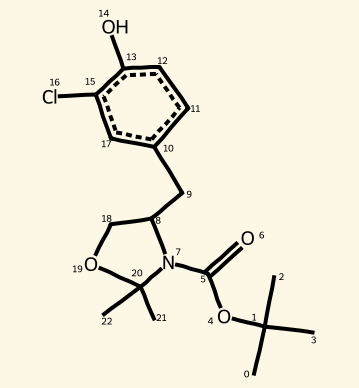 CC(C)(C)OC(=O)N1C(Cc2ccc(O)c(Cl)c2)COC1(C)C